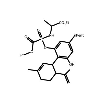 C=C(C)C1CCC(C)=CC1c1c(O)cc(CCCCC)cc1OP(=O)(NC(C)C(=O)OCC)C(=O)OC(C)C